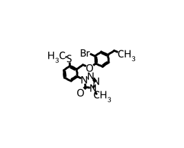 CCc1ccc(OCc2c(SC)cccc2-n2nnn(C)c2=O)c(Br)c1